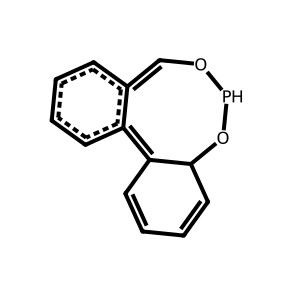 C1=C/C2=c3\cccc\c3=C\OPOC2C=C1